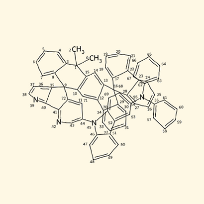 CC1(C)c2ccccc2C2(c3cc4c(cc31)C1(c3ccccc3-c3ccccc31)c1ccccc1-4)c1cccnc1-c1ncc(-n3c4ccccc4c4cc(N(c5ccccc5)c5ccccc5)ccc43)cc12